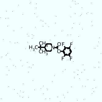 CC(C)(C)C1CCN(C(=O)Oc2c(F)c(F)cc(F)c2F)CC1